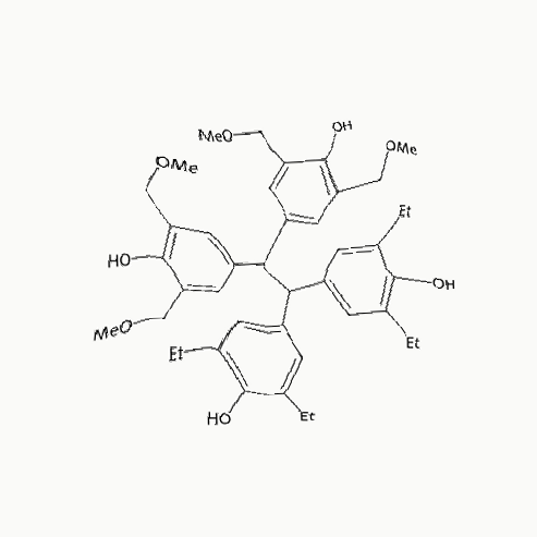 CCc1cc(C(c2cc(CC)c(O)c(CC)c2)C(c2cc(COC)c(O)c(COC)c2)c2cc(COC)c(O)c(COC)c2)cc(CC)c1O